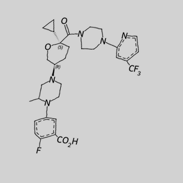 CC1CN([C@@H]2CC[C@@](C(=O)N3CCN(c4cc(C(F)(F)F)ccn4)CC3)(C3CC3)OC2)CCN1c1ccc(F)c(C(=O)O)c1